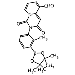 Cc1c(B2OC(C)(C)C(C)(C)O2)cccc1-n1c(=O)cc2c(C=O)cccn2c1=O